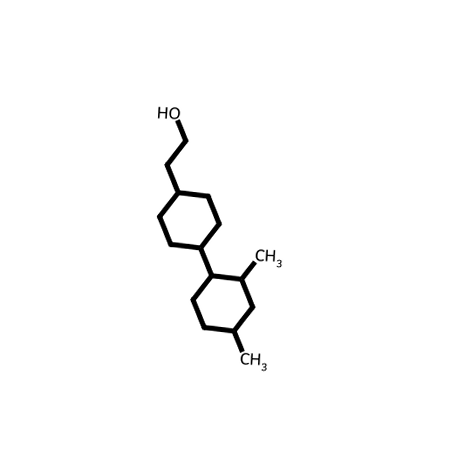 CC1CCC(C2CCC(CCO)CC2)C(C)C1